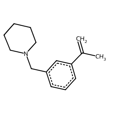 C=C(C)c1cccc(CN2CCCCC2)c1